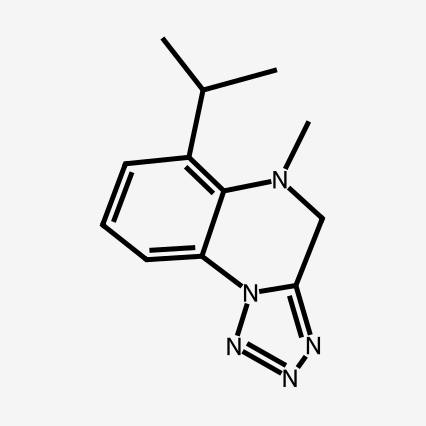 CC(C)c1cccc2c1N(C)Cc1nnnn1-2